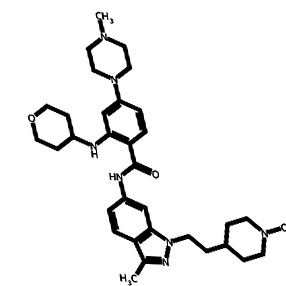 Cc1nn(CCC2CCN(C)CC2)c2cc(NC(=O)c3ccc(N4CCN(C)CC4)cc3NC3CCOCC3)ccc12